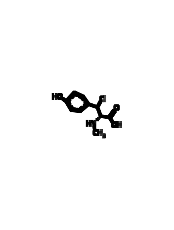 CN[C@@H](C(=O)O)C(Cl)c1ccc(O)cc1